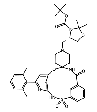 Cc1cccc(C)c1-c1cc2nc(n1)NS(=O)(=O)c1cccc(c1)C(=O)NC1(CCN(C[C@H]3COC(C)(C)N3C(=O)OC(C)(C)C)CC1)O2